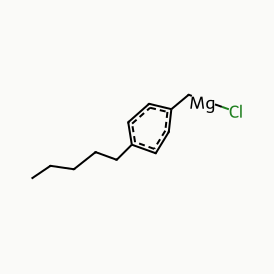 CCCCCc1ccc([CH2][Mg][Cl])cc1